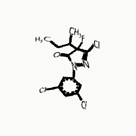 CCC(C)C1(F)C(=O)N(c2cc(Cl)cc(Cl)c2)N=C1Cl